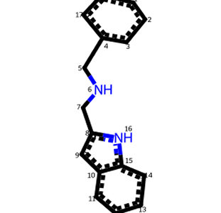 [c]1cccc(CNCc2cc3ccccc3[nH]2)c1